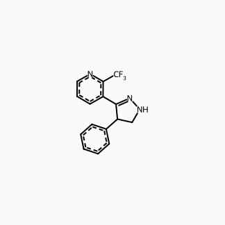 FC(F)(F)c1ncccc1C1=NNCC1c1ccccc1